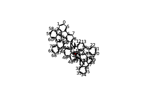 c1ccc2c(c1)-c1ccc(N(c3ccc4c(c3)C3(c5ccccc5-4)c4ccccc4-n4c5ccccc5c5cccc3c54)c3cccc4ccccc34)cc1C21c2ccccc2-c2c1ccc1ccccc21